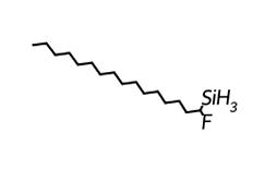 CCCCCCCCCCCCCCCC(F)[SiH3]